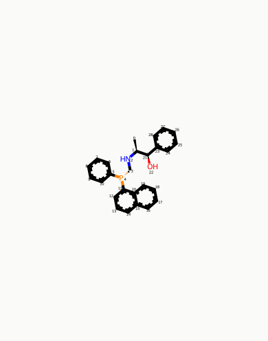 C[C@H](NC[P@@](c1ccccc1)c1cccc2ccccc12)[C@H](O)c1ccccc1